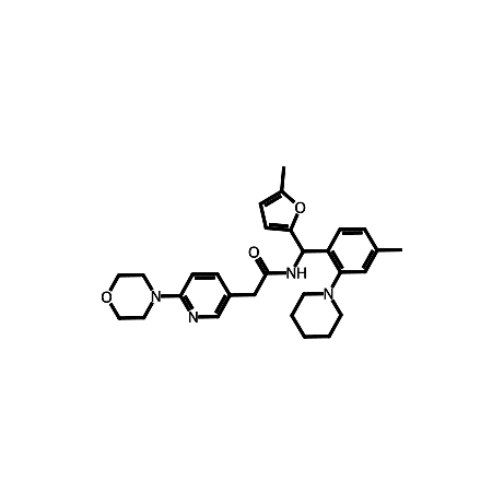 Cc1ccc(C(NC(=O)Cc2ccc(N3CCOCC3)nc2)c2ccc(C)o2)c(N2CCCCC2)c1